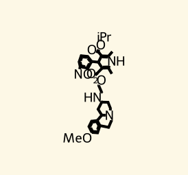 COc1ccc2c(c1)CCN1CCC(NCCOC(=O)C3=C(C)NC(C)=C(C(=O)OC(C)C)C3c3cccc([N+](=O)[O-])c3)CC21